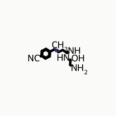 C/C(=C\CC(=N)NC(O)CN)c1ccc(C#N)cc1